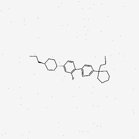 CCCC1(c2ccc(-c3ccc([C@H]4CC[C@H](CCC)CC4)cc3F)cc2)CCCCC1